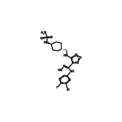 NS(=O)(=O)N[C@H]1CC[C@H](CNc2nonc2C(=NO)Nc2ccc(F)c(Br)c2)CC1